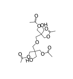 CC(=O)OCC(CO)(COCC(CO)(COC(C)=O)COC(C)=O)COC(C)=O